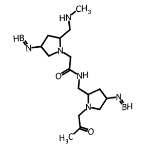 B=NC1CC(CNC(=O)CN2CC(N=B)CC2CNC)N(CC(C)=O)C1